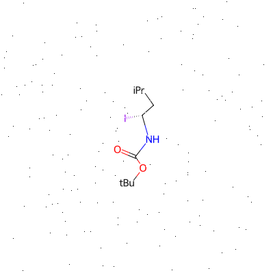 CC(C)C[C@@H](I)NC(=O)OC(C)(C)C